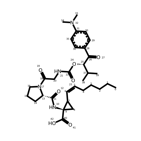 CCCCC/C=C\C1C[C@]1(NC(=O)[C@@H]1CCCN1C(=O)CNC(=O)O[C@H](C(=O)c1ccc(N(C)C)cc1)C(C)C)C(=O)O